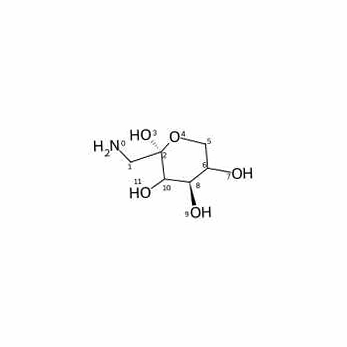 NC[C@@]1(O)OCC(O)[C@@H](O)C1O